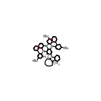 CC(C)(C)c1ccc2c(c1)B1c3ccccc3N(c3ccc(C(C)(C)C)cc3-c3ccccc3)c3cc(N4c5ccccc5C5(C)CCCCCCC45C)cc(c31)N2c1ccc(C(C)(C)C)cc1-c1ccccc1